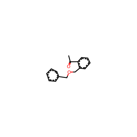 CC(=O)c1ccccc1COCc1ccccc1